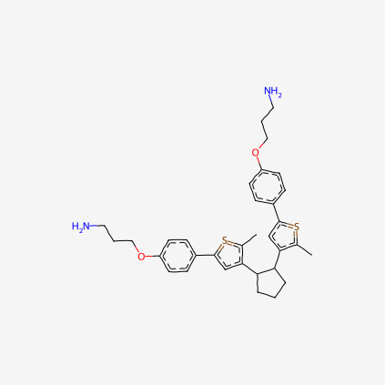 Cc1sc(-c2ccc(OCCCN)cc2)cc1C1CCCC1c1cc(-c2ccc(OCCCN)cc2)sc1C